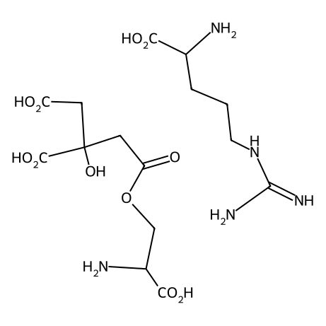 N=C(N)NCCCC(N)C(=O)O.NC(COC(=O)CC(O)(CC(=O)O)C(=O)O)C(=O)O